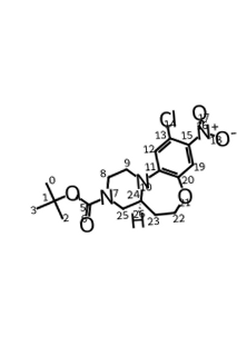 CC(C)(C)OC(=O)N1CCN2c3cc(Cl)c([N+](=O)[O-])cc3OCC[C@H]2C1